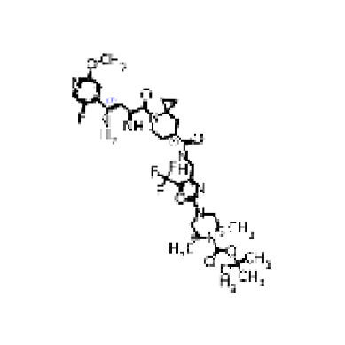 COc1cc(/C(N)=C/C(=N)C(=O)N2CC[C@H](C(=O)NCc3nc(N4C[C@@H](C)N(C(=O)OC(C)(C)C)[C@@H](C)C4)oc3C(F)(F)F)CC23CC3)c(F)cn1